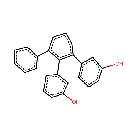 Oc1cccc(-c2cccc(-c3ccccc3)c2-c2cccc(O)c2)c1